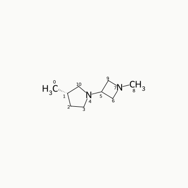 C[C@H]1CCN(C2CN(C)C2)C1